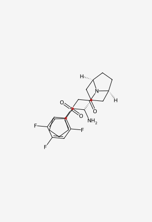 NC(Cc1cc(F)c(F)cc1F)[C@@H]1C[C@H]2CC[C@@H](C1)N2C(=O)CS(=O)(=O)C1CCCC1